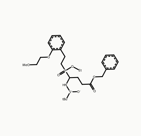 CCOP(=O)(CCc1ccccc1OCCOC)C(CCC(=O)OCc1ccccc1)N[S+]([O-])C(C)(C)C